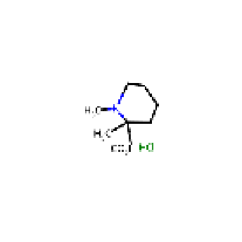 CN1CCCCC1(C)C(=O)O.Cl